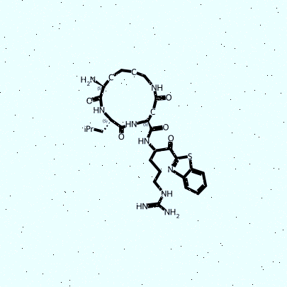 CC(C)C[C@@H]1NC(=O)[C@@H](N)CCCCNC(=O)C[C@@H](C(=O)NC(CCCNC(=N)N)C(=O)c2nc3ccccc3s2)NC1=O